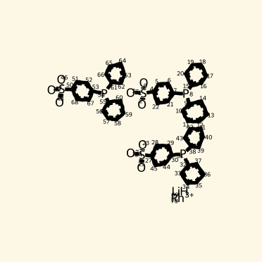 O=S(=O)([O-])c1ccc(P(c2ccccc2)c2ccccc2)cc1.O=S(=O)([O-])c1ccc(P(c2ccccc2)c2ccccc2)cc1.O=S(=O)([O-])c1ccc(P(c2ccccc2)c2ccccc2)cc1.[LiH].[Rh+3]